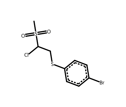 CS(=O)(=O)C(Cl)CSc1ccc(Br)cc1